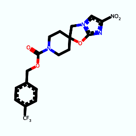 O=C(OCc1ccc(C(F)(F)F)cc1)N1CCC2(CC1)Cn1cc([N+](=O)[O-])nc1O2